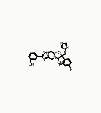 C[C@@H](N1CCn2nc(-c3cccc(C#N)c3)nc2C1)[C@](O)(Cn1cncn1)c1ccc(F)cc1F